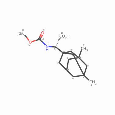 CC12CC3CC(C)(C1)CC([C@H](NC(=O)OC(C)(C)C)C(=O)O)(C3)C2